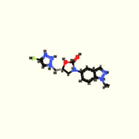 CC(C)n1ncc2cc(N3C[C@H](Cn4cc(F)nn4)OC3=O)ccc21